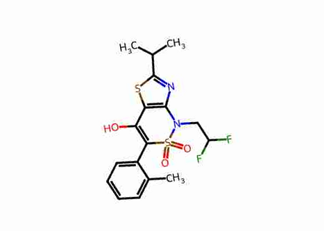 Cc1ccccc1C1=C(O)c2sc(C(C)C)nc2N(CC(F)F)S1(=O)=O